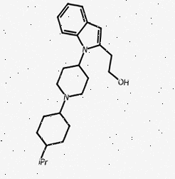 CC(C)C1CCC(N2CCC(n3c(CCO)cc4ccccc43)CC2)CC1